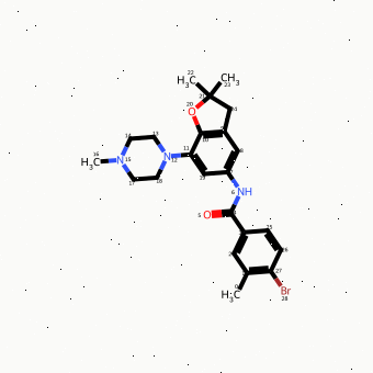 Cc1cc(C(=O)Nc2cc3c(c(N4CCN(C)CC4)c2)OC(C)(C)C3)ccc1Br